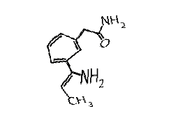 C/C=C(\N)c1cccc(CC(N)=O)c1